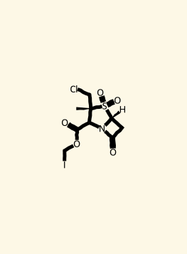 C[C@]1(CCl)C(C(=O)OCI)N2C(=O)C[C@H]2S1(=O)=O